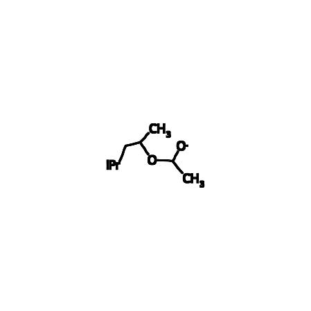 CC(C)CC(C)OC(C)[O]